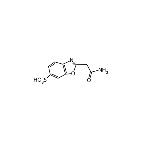 NC(=O)Cc1nc2ccc(S(=O)(=O)O)cc2o1